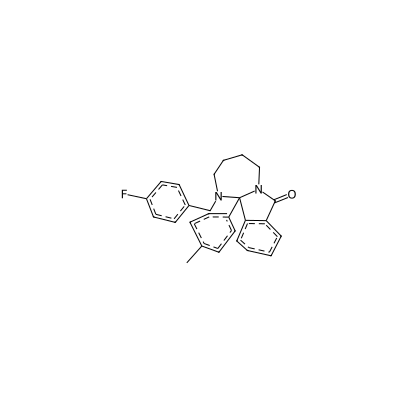 Cc1ccc(C23c4ccccc4C(=O)N2CCCCN3Cc2ccc(F)cc2)cc1